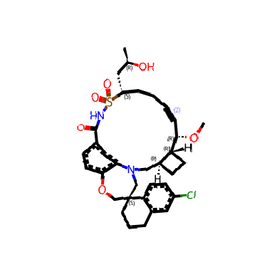 CO[C@H]1/C=C\CC[C@@H](C[C@@H](C)O)S(=O)(=O)NC(=O)c2ccc3c(c2)N(C[C@@H]2CC[C@H]21)C[C@@]1(CCCc2cc(Cl)ccc21)CO3